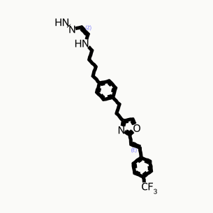 N=N/C=C\NCCCCc1ccc(CCc2coc(/C=C/c3ccc(C(F)(F)F)cc3)n2)cc1